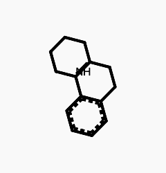 c1ccc2c(c1)CCC13CCCCC21NCCC3